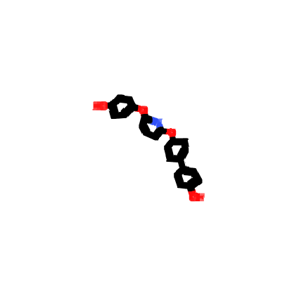 Oc1ccc(Oc2cccc(Oc3ccc(-c4ccc(O)cc4)cc3)n2)cc1